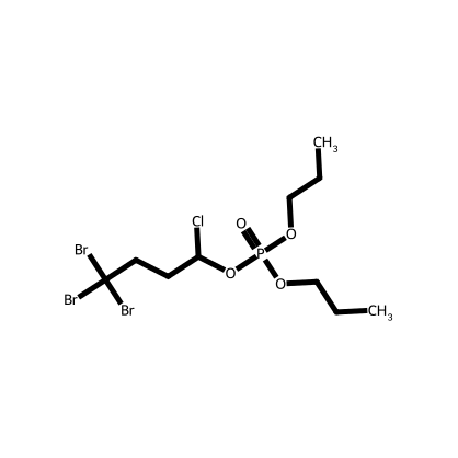 CCCOP(=O)(OCCC)OC(Cl)CCC(Br)(Br)Br